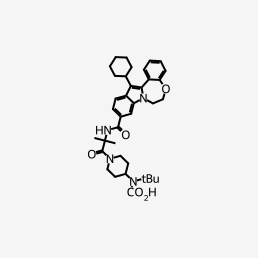 CC(C)(NC(=O)c1ccc2c(C3CCCCC3)c3n(c2c1)CCOc1ccccc1-3)C(=O)N1CCC(N(C(=O)O)C(C)(C)C)CC1